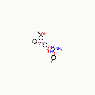 C#C[C@@]1(O)CC[C@@H](C(=O)N2CCC(O)(Cn3cnc(Oc4ccc(F)cc4)c(N)c3=O)CC2)[C@H](c2ccccc2)C1